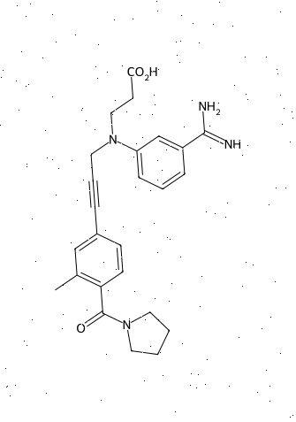 Cc1cc(C#CCN(CCC(=O)O)c2cccc(C(=N)N)c2)ccc1C(=O)N1CCCC1